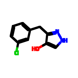 Oc1c[nH]nc1Cc1cccc(Cl)c1